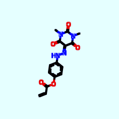 C=CC(=O)Oc1ccc(NN=C2C(=O)N(C)C(=O)N(C)C2=O)cc1